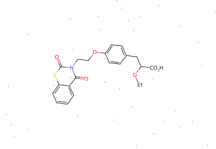 CCOC(Cc1ccc(OCCn2c(=O)sc3ccccc3c2=O)cc1)C(=O)O